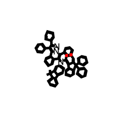 CC1(C)c2ccccc2-c2ccc(N(c3cccc4c3-c3ccccc3C4(c3ccccc3)c3ccccc3)c3c(-c4ccccc4)n4nc(-c5ccccc5)c(-c5ccccc5)c4c4ccccc34)cc21